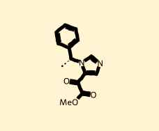 COC(=O)C(=O)c1cncn1[C@H](C)c1ccccc1